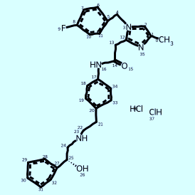 Cc1cn(Cc2ccc(F)cc2)c(CC(=O)Nc2ccc(CCNC[C@H](O)c3ccccc3)cc2)n1.Cl.Cl